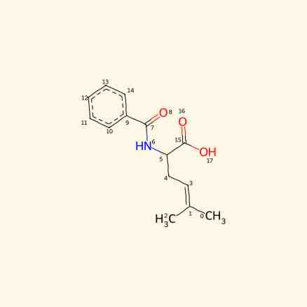 CC(C)=CCC(NC(=O)c1ccccc1)C(=O)O